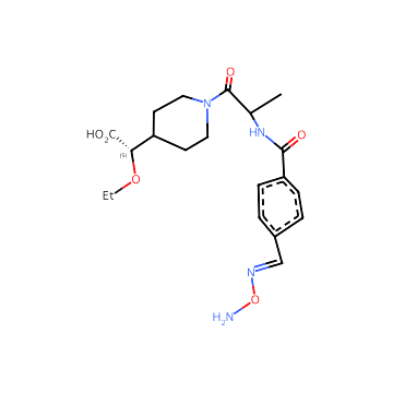 CCO[C@H](C(=O)O)C1CCN(C(=O)C(C)NC(=O)c2ccc(C=NON)cc2)CC1